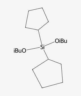 CC(C)CO[Si](OCC(C)C)(C1CCCC1)C1CCCC1